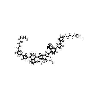 CCCCCCc1ccc(-c2ccc(-c3cnc(-c4cc5c(s4)-c4sc(-c6ncc(-c7ccc(-c8ccc(CCCCCC)s8)s7)c7nsnc67)cc4C5(C)C)c4nsnc34)s2)s1